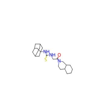 O=C(CNC(=S)NC12CC3CC(CC(C3)C1)C2)N1CCC2CCCCC2C1